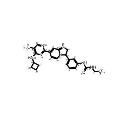 O=C(NCC(F)(F)F)Nc1cccc(C2CN=C3C=C(c4ncc(C(F)(F)F)c(NC5CCC5)n4)C=CN32)c1